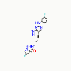 CNc1nc(Nc2cccc(F)c2)ncc1C#CCCCNC(=O)[C@@H]1C[C@H](F)CN1